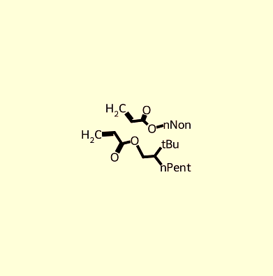 C=CC(=O)OCC(CCCCC)C(C)(C)C.C=CC(=O)OCCCCCCCCC